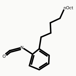 CCCCCCCCCCCCc1ccccc1N=C=O